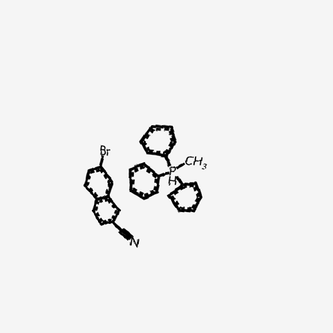 C[PH](c1ccccc1)(c1ccccc1)c1ccccc1.N#Cc1ccc2ccc(Br)cc2c1